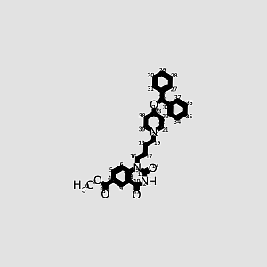 COC(=O)c1ccc2c(c1)c(=O)[nH]c(=O)n2CCCCN1CCC(OC(c2ccccc2)c2ccccc2)CC1